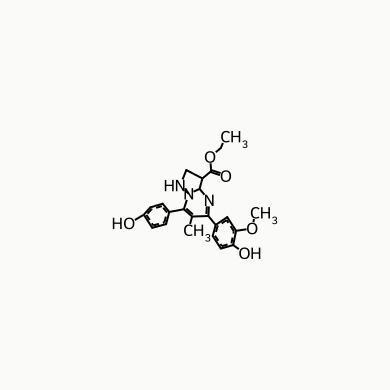 CCOC(=O)C1CNN2C(c3ccc(O)cc3)=C(C)C(c3ccc(O)c(OC)c3)=NC12